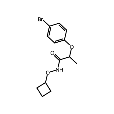 CC(Oc1ccc(Br)cc1)C(=O)NOC1CCC1